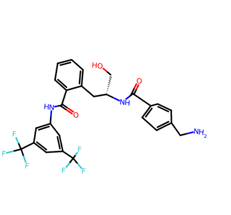 NCc1ccc(C(=O)N[C@@H](CO)Cc2ccccc2C(=O)Nc2cc(C(F)(F)F)cc(C(F)(F)F)c2)cc1